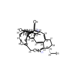 O=C1CC(=O)c2cc3occ[nH]c2/C1=C1\C=C2CC[C@H](CI)/C(=N/CC3)C2=Cc2c[nH]cc21